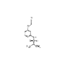 CN(C)S(=O)(=O)Nc1cccc(OCC#N)c1